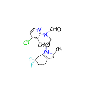 Cc1cc2c(n1CCN(C=O)c1nccc(Cl)c1C=O)CC(F)(F)CC2